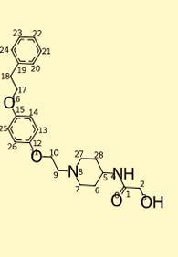 O=C(CO)NC1CCN(CCOc2ccc(OCCc3ccccc3)cc2)CC1